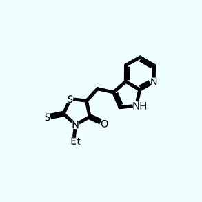 CCN1C(=O)C(Cc2c[nH]c3ncccc23)SC1=S